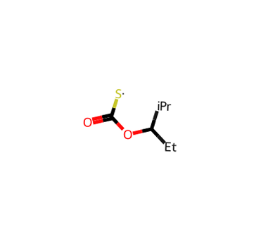 CCC(OC(=O)[S])C(C)C